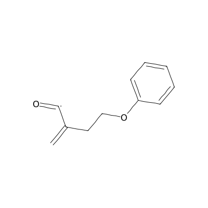 C=C([C]=O)CCOc1ccccc1